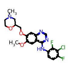 COc1cc2c(Nc3ccc(F)c(Cl)c3F)ncnc2cc1OCC1CN(C)CCO1